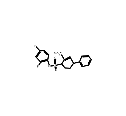 CCOC(=O)C1=CC(c2ccccc2)CCC1S(=O)(=O)Nc1ccc(F)cc1F